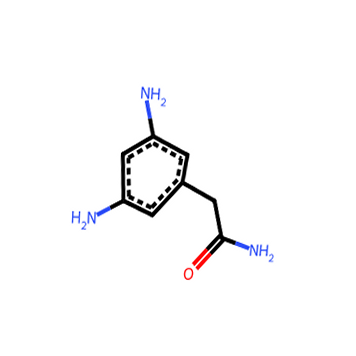 NC(=O)Cc1cc(N)cc(N)c1